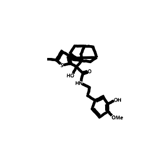 COc1ccc(CCNC(=O)C(O)(c2ccc(C)s2)C23CC4CC(CC(C4)C2)C3)cc1O